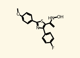 C=C(NO)c1sc(-c2ccc(OC)cc2)nc1-c1ccc(F)cc1